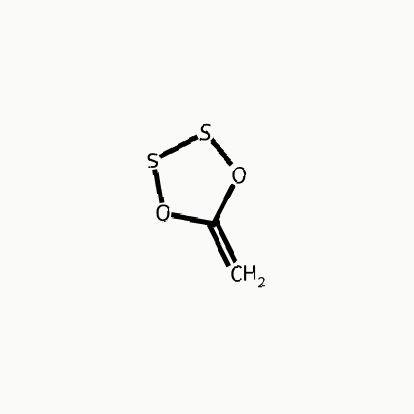 C=C1OSSO1